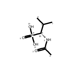 CC(=O)N[C@@H](C(C)C)P(=O)(O)O